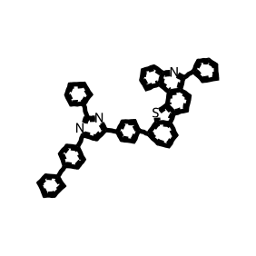 c1ccc(-c2ccc(-c3cc(-c4ccc(-c5cccc6c5sc5c6ccc6c(-c7ccccc7)nc7ccccc7c65)cc4)nc(-c4ccccc4)n3)cc2)cc1